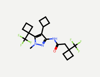 Cn1nc(NC(=O)CC2(C(F)(F)F)CCC2)c(C2CCC2)c1C1(C(F)(F)F)CCC1